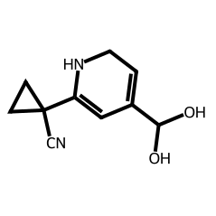 N#CC1(C2=CC(C(O)O)=CCN2)CC1